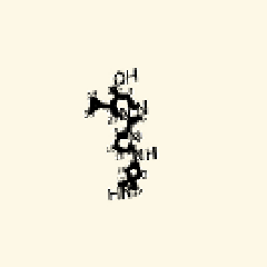 OCc1cc2ncc(-c3cccc(NC4CC5(CNC5)C4)n3)n2cc1C1CC1